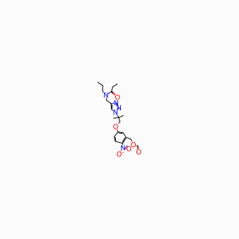 CCCN(Cc1cn(C(C)(C)COc2ccc([N+](=O)[O-])c(COC=O)c2)nn1)C(=O)CC